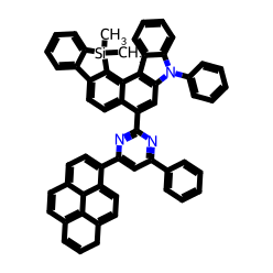 C[Si]1(C)c2ccccc2-c2ccc3c(-c4nc(C5=CC=C6C=CC7=C8C(=CC=C5C68)CC=C7)cc(-c5ccccc5)n4)cc4c(c5ccccc5n4-c4ccccc4)c3c21